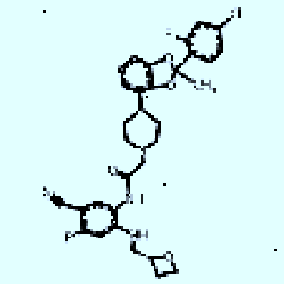 CC1(c2ccc(Cl)cc2F)Oc2cccc(C3CCN(CC(=O)Nc4cc(C#N)c(F)cc4NC[C@@H]4CCO4)CC3)c2O1